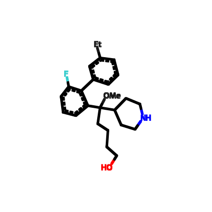 CCc1cccc(-c2c(F)cccc2C(CCCCO)(OC)C2CCNCC2)c1